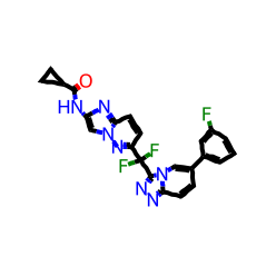 O=C(Nc1cn2nc(C(F)(F)c3nnc4ccc(-c5cccc(F)c5)cn34)ccc2n1)C1CC1